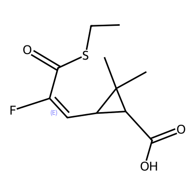 CCSC(=O)/C(F)=C\C1C(C(=O)O)C1(C)C